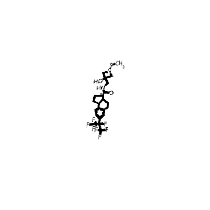 CSN1CC(O)(CNC(=O)[C@@H]2CCC3c4ccc(C(F)(C(F)(F)F)C(F)(F)F)cc4CCC32)C1